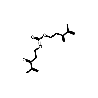 C=C(C)C(=O)CCO[PH](=O)OCCC(=O)C(=C)C